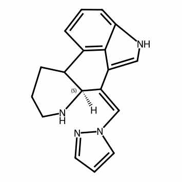 C(=C1c2c[nH]c3cccc(c23)C2CCCN[C@H]12)n1cccn1